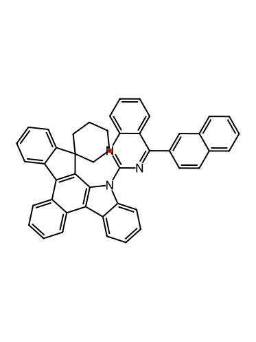 c1ccc2c(c1)-c1c(c3c(c4ccccc14)c1ccccc1n3-c1nc(-c3ccc4ccccc4c3)c3ccccc3n1)C21CCCCC1